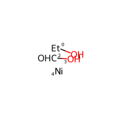 CCO.O=CO.[Ni]